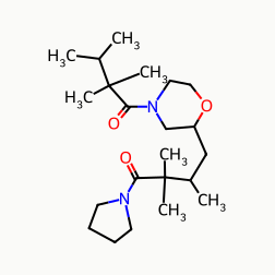 CC(C)C(C)(C)C(=O)N1CCOC(CC(C)C(C)(C)C(=O)N2CCCC2)C1